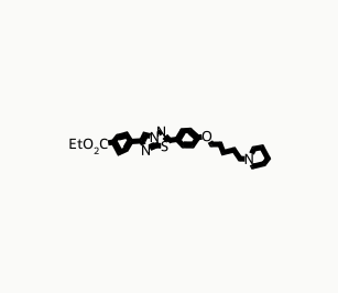 CCOC(=O)c1ccc(-c2cn3nc(-c4ccc(OCCCCCN5CCCCC5)cc4)sc3n2)cc1